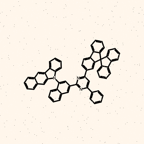 c1ccc(-c2cc(-c3ccc4c(c3)C3(c5ccccc5-c5ccccc53)c3ccccc3-4)nc(-c3cc(-n4c5ccccc5c5cc6ccccc6cc54)c4ccccc4c3)n2)cc1